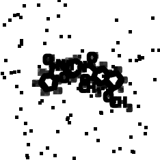 COc1cc2c(OC)cccc2cc1C(=O)N1CCC2(CC1)NC(=O)c1ccccc1O2